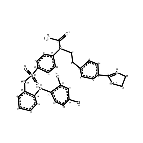 O=C(N(CCc1ccc(C2=NCCN2)cc1)c1ccc(S(=O)(=O)Nc2ccccc2Oc2ccc(Cl)cc2Cl)cc1)C(F)(F)F